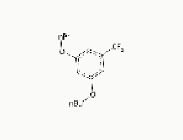 CCCCOc1cc(OCCC)cc(C(F)(F)F)c1